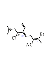 C=C/C(=C\C/C(C#N)=C(/C)CC)[C@@H](Cl)CN(C)C